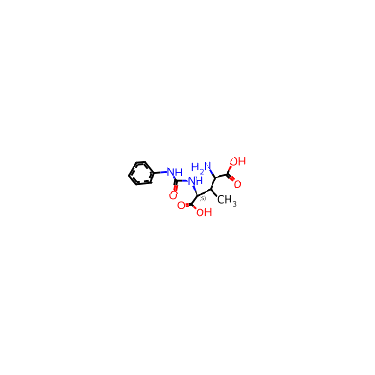 CC(C(N)C(=O)O)[C@H](NC(=O)Nc1ccccc1)C(=O)O